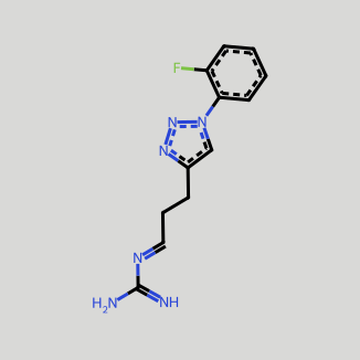 N=C(N)N=CCCc1cn(-c2ccccc2F)nn1